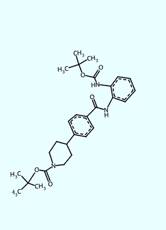 CC(C)(C)OC(=O)Nc1ccccc1NC(=O)c1ccc(C2CCN(C(=O)OC(C)(C)C)CC2)cc1